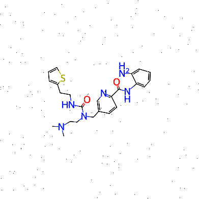 CN(C)CCN(Cc1ccc(C(=O)Nc2ccccc2N)nc1)C(=O)NCCc1cccs1